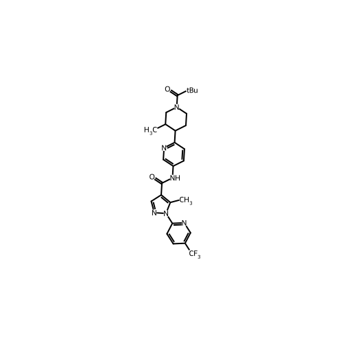 Cc1c(C(=O)Nc2ccc(C3CCN(C(=O)C(C)(C)C)CC3C)nc2)cnn1-c1ccc(C(F)(F)F)cn1